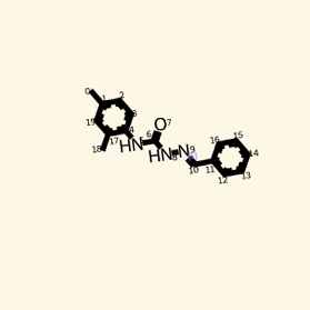 Cc1ccc(NC(=O)N/N=C/c2ccccc2)c(C)c1